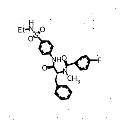 CCNS(=O)(=O)c1ccc(NC(=O)[C@H](Cc2ccccc2)N(C)C(=O)c2ccc(F)cc2)cc1